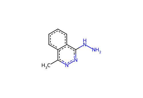 Cc1nnc(NN)c2ccccc12